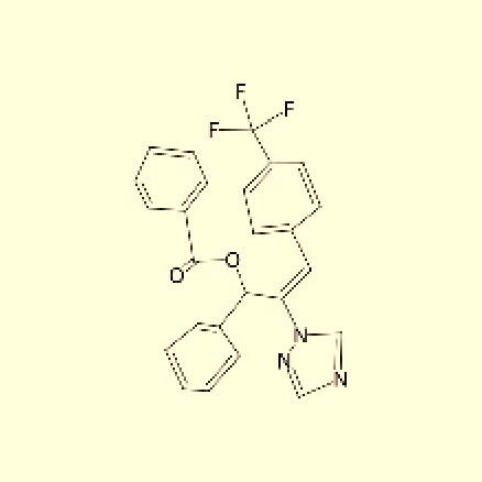 O=C(OC(/C(=C\c1ccc(C(F)(F)F)cc1)n1cncn1)c1ccccc1)c1ccccc1